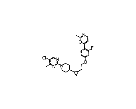 CC1=NC=C=C(c2ccc(OCCC3CC3C3CCN(c4ncc(Cl)c(C)n4)CC3)cc2F)O1